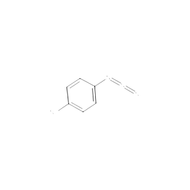 N#Cc1ccc(N=[N+]=[N-])cc1